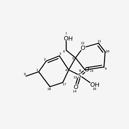 CC1C=CC(C2(CO)C=CC=CO2)(S(=O)(=O)O)CC1